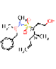 C=CC[C@H](C)[C@H](CCO)S(=O)(=O)N(C)B(C)Cc1ccccc1